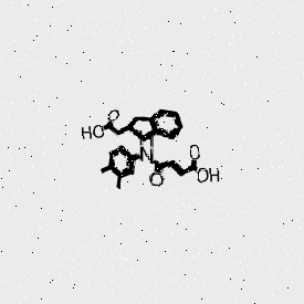 Cc1ccc(NC(=O)C=CC(=O)O)cc1C.O=C(O)CC1Cc2ccccc2C1